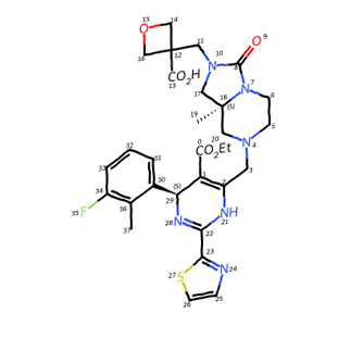 CCOC(=O)C1=C(CN2CCN3C(=O)N(CC4(C(=O)O)COC4)C[C@]3(C)C2)NC(c2nccs2)=N[C@H]1c1cccc(F)c1C